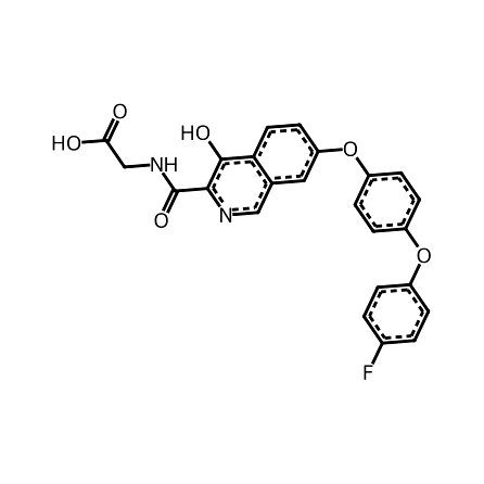 O=C(O)CNC(=O)c1ncc2cc(Oc3ccc(Oc4ccc(F)cc4)cc3)ccc2c1O